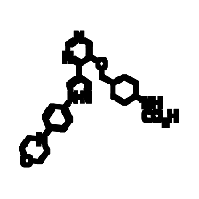 O=C(O)N[C@H]1CC[C@@H](COc2cncnc2-c2cnn(-c3ccc(N4CCOCC4)cc3)c2)CC1